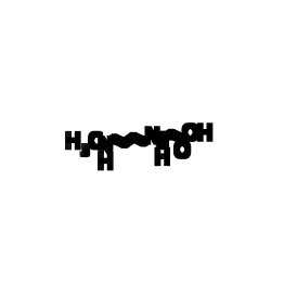 CNCCCC/N=[SH]/CC(=O)O